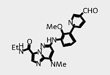 CCNC(=O)c1cnc2c(NC)cc(Nc3cccc(-c4ccc(C=O)cn4)c3OC)nn12